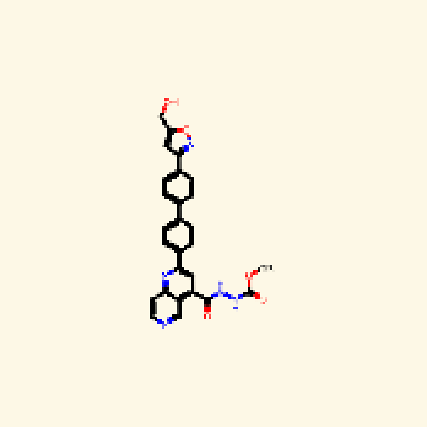 CC(C)(C)OC(=O)NNC(=O)c1cc(-c2ccc(-c3ccc(-c4cc(CO)on4)cc3)cc2)nc2ccncc12